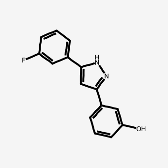 Oc1cccc(-c2cc(-c3cccc(F)c3)[nH]n2)c1